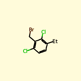 CCc1ccc(Cl)c(CBr)c1Cl